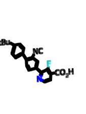 [C-]#[N+]c1cc(-c2nccc(C(=O)O)c2F)ccc1-c1ccc(C(C)(C)C)cc1